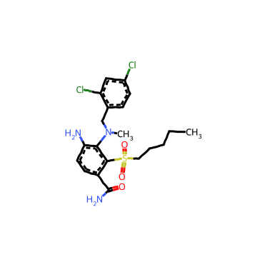 CCCCCS(=O)(=O)c1c(C(N)=O)ccc(N)c1N(C)Cc1ccc(Cl)cc1Cl